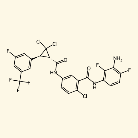 Nc1c(F)ccc(NC(=O)c2cc(NC(=O)[C@@H]3[C@@H](c4cc(F)cc(C(F)(F)F)c4)C3(Cl)Cl)ccc2Cl)c1F